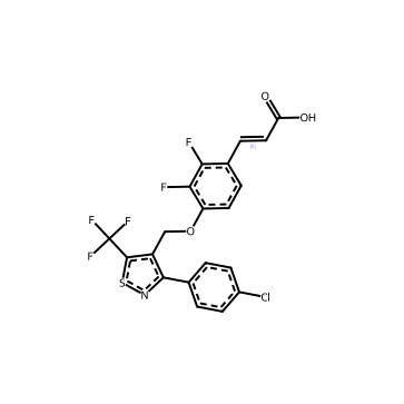 O=C(O)/C=C/c1ccc(OCc2c(-c3ccc(Cl)cc3)nsc2C(F)(F)F)c(F)c1F